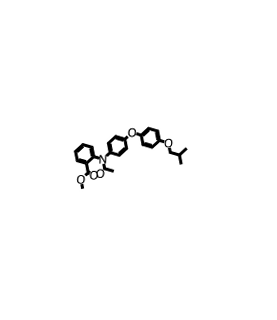 COC(=O)c1ccccc1N(C(C)=O)c1ccc(Oc2ccc(OCC(C)C)cc2)cc1